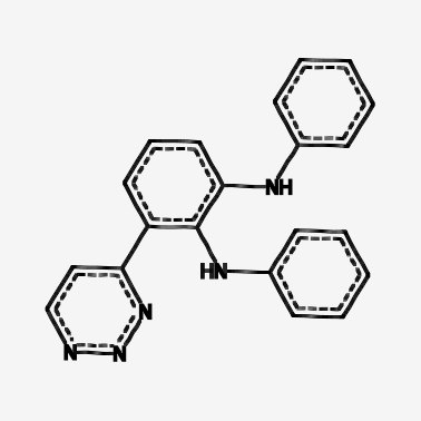 c1ccc(Nc2cccc(-c3ccnnn3)c2Nc2ccccc2)cc1